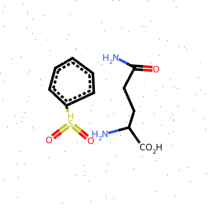 NC(=O)CCC(N)C(=O)O.O=[SH](=O)c1ccccc1